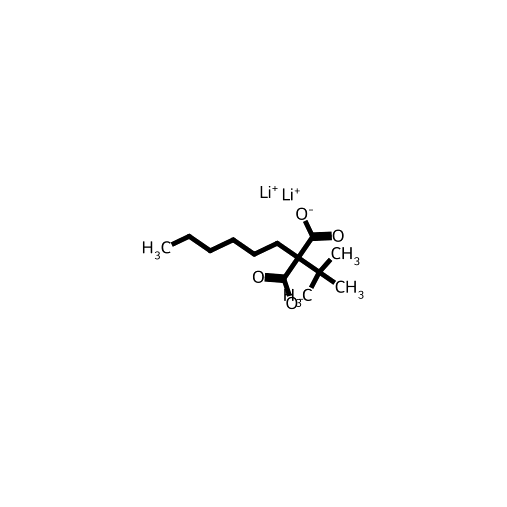 CCCCCCC(C(=O)[O-])(C(=O)[O-])C(C)(C)C.[Li+].[Li+]